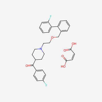 O=C(O)/C=C\C(=O)O.O=C(c1ccc(F)cc1)C1CCN(CCOCc2ccccc2-c2ccccc2F)CC1